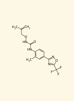 C=C(C)CONC(=O)Nc1ccc(-c2noc(C(F)(F)F)n2)cc1C